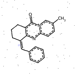 Cc1ccc2nc3c(c(=O)n2c1)CCC/C3=C/c1ccccc1